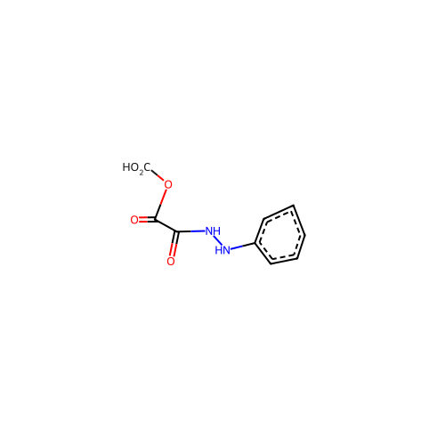 O=C(O)OC(=O)C(=O)NNc1ccccc1